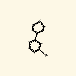 CC(C)(C)c1cc[c]c(-c2ccncc2)c1